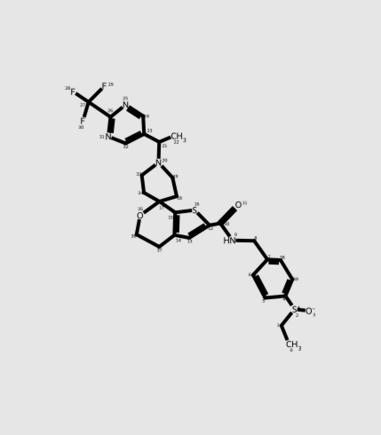 CC[S+]([O-])c1ccc(CNC(=O)c2cc3c(s2)C2(CCN(C(C)c4cnc(C(F)(F)F)nc4)CC2)OCC3)cc1